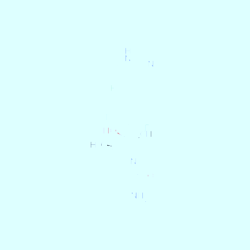 C[C@@H]1CN(C(=O)CN)C[C@H](C)[C@@]1(O)c1c(F)cc(-c2ccnc3[nH]cc(F)c23)cc1F